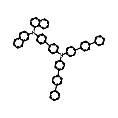 c1ccc(-c2ccc(-c3ccc(N(c4ccc(-c5ccc(-c6ccccc6)cc5)cc4)c4ccc(-c5ccc(N(c6ccc7ccccc7c6)c6cccc7ccccc67)cc5)cc4)cc3)cc2)cc1